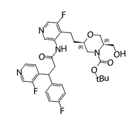 CC(C)(C)OC(=O)N1C[C@@H](CCc2c(F)cncc2NC(=O)CC(c2ccc(F)cc2)c2ccncc2F)OC[C@H]1CO